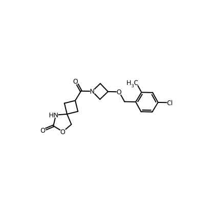 Cc1cc(Cl)ccc1COC1CN(C(=O)C2CC3(COC(=O)N3)C2)C1